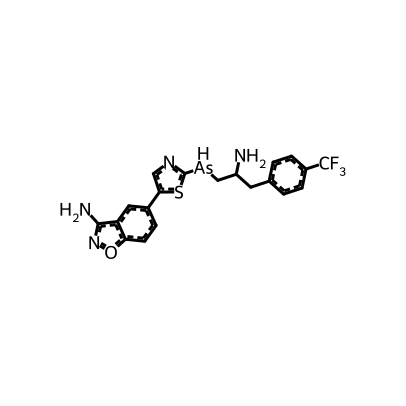 Nc1noc2ccc(-c3cnc([AsH]CC(N)Cc4ccc(C(F)(F)F)cc4)s3)cc12